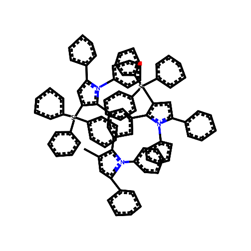 Cc1cc(-c2ccccc2)n(-c2ccccc2)c1-c1cc(-c2c([Si](c3ccccc3)(c3ccccc3)c3ccccc3)cc(-c3ccccc3)n2-c2ccccc2)cc(-c2c([Si](c3ccccc3)(c3ccccc3)c3ccccc3)cc(-c3ccccc3)n2-c2ccccc2)c1